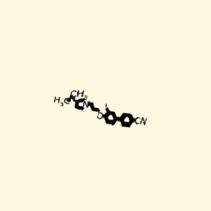 CN(C)[C@@H]1CCN(CCCOc2ccc(-c3ccc(C#N)cc3)cc2I)C1